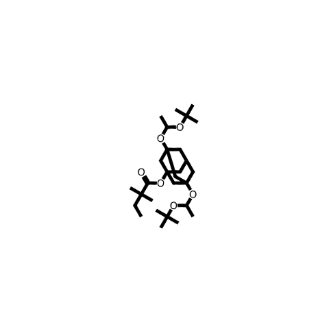 CCC(C)(C)C(=O)OC12CC3CC(OC(C)OC(C)(C)C)(C1)CC(OC(C)OC(C)(C)C)(C3)C2